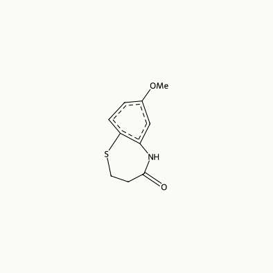 COc1ccc2c(c1)NC(=O)CCS2